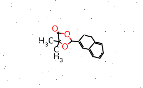 CC1(C)OC(C2=Cc3ccccc3CC2)OC1=O